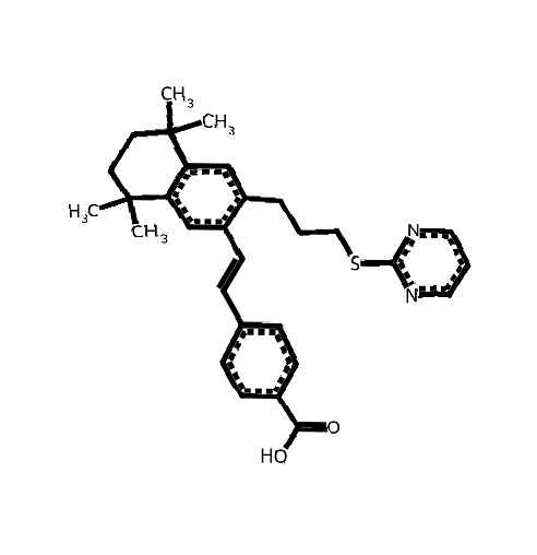 CC1(C)CCC(C)(C)c2cc(CCCSc3ncccn3)c(/C=C/c3ccc(C(=O)O)cc3)cc21